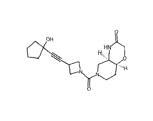 O=C1CO[C@H]2CCN(C(=O)N3CC(C#CC4(O)CCCC4)C3)C[C@H]2N1